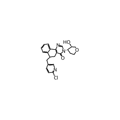 O=c1c2c(ncn1[C@H]1CCOC[C@@H]1O)-c1ccccc1C(Cc1ccc(Cl)nc1)C2